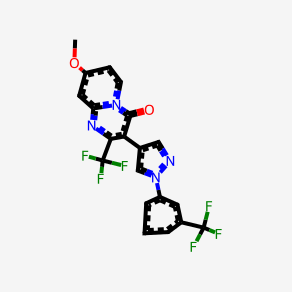 COc1ccn2c(=O)c(-c3cnn(-c4cccc(C(F)(F)F)c4)c3)c(C(F)(F)F)nc2c1